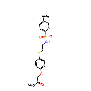 COC(=O)COc1ccc(SCCNS(=O)(=O)c2ccc(OC)cc2)cc1